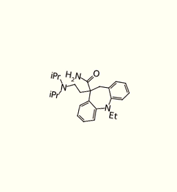 CCN1c2ccccc2CC(CCN(C(C)C)C(C)C)(C(N)=O)c2ccccc21